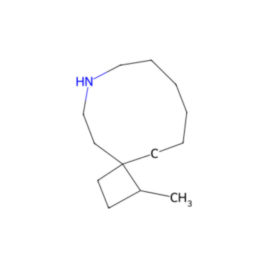 CC1CCC12CCCCCCNCC2